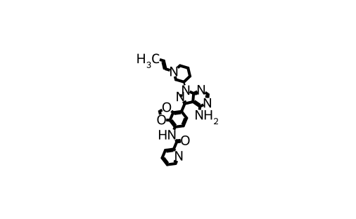 CC=CN1CCC[C@@H](n2nc(-c3ccc(NC(=O)c4ccccn4)c4c3OCO4)c3c(N)ncnc32)C1